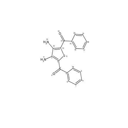 Nc1c(C(=O)c2ccccc2)sc(C(=O)c2ccccc2)c1N